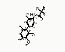 COc1c(C)cc(C)c(-c2ccc(NC(=O)C(F)(F)F)c(I)c2)c1C